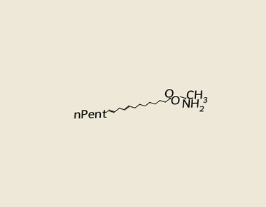 CCCCC/C=C/C/C=C/CCCCCCCC(=O)OCC(C)N